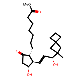 COC(=O)CCCCCC[C@H]1C(=O)C[C@@H](O)[C@@H]1/C=C/[C@@H](O)C1(C)CC2(CCC2)C1